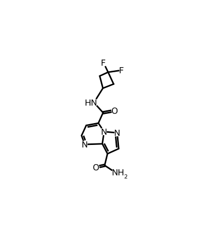 NC(=O)c1cnn2c(C(=O)NC3CC(F)(F)C3)ccnc12